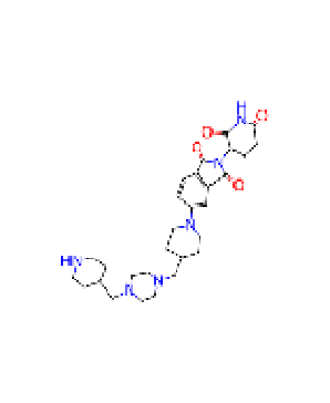 O=C1CCC(N2C(=O)c3ccc(N4CCC(CN5CCN(CC6CCNCC6)CC5)CC4)cc3C2=O)C(=O)N1